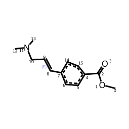 COC(=O)c1ccc(/C=C/CN(C)C)cc1